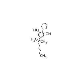 CCCCCCC(C)(C)c1cc(O)c(C2C=CCCC2)c(O)c1